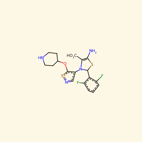 NC1=C(C(=O)O)N(c2cnsc2OC2CCNCC2)C(c2c(F)cccc2F)S1